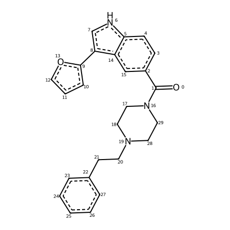 O=C(c1ccc2[nH]cc(-c3ccco3)c2c1)N1CCN(CCc2ccccc2)CC1